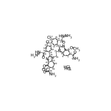 COc1c(C(N)=O)ccc2c1nc(-c1ccc(Cl)cc1C(=O)NN)n2CCn1c(-c2ccc(Cl)cc2C(=O)NN)nc2c(OC)c(C(N)=O)ccc21.Cl.Cl